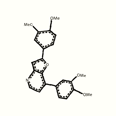 COc1ccc(-c2cc3nccc(-c4ccc(OC)c(OC)c4)c3o2)cc1OC